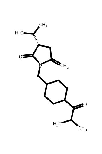 C=C1C[C@@H](C(C)C)C(=O)N1CC1CCC(C(=O)C(C)C)CC1